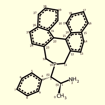 C[C@H](N)[C@H](c1ccccc1)P1Cc2ccc3ccccc3c2-c2c(ccc3ccccc23)C1